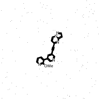 COc1ncccc1-c1cncc(C#Cc2ccn3nccc3n2)c1